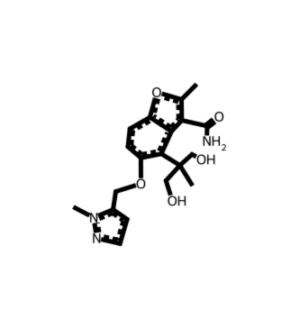 Cc1oc2ccc(OCc3ccnn3C)c(C(C)(CO)CO)c2c1C(N)=O